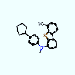 CN(c1ccc(C2CCCCC2)cc1)c1cccc2c1sc1c(C#N)cccc12